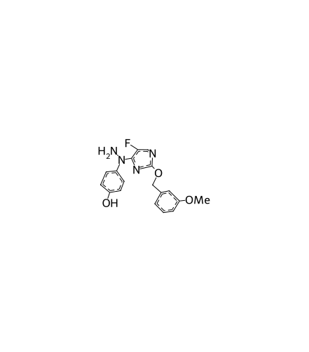 COc1cccc(COc2ncc(F)c(N(N)c3ccc(O)cc3)n2)c1